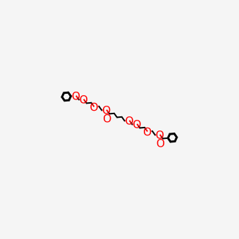 O=C(CCCCOCOCCOCCOC(=O)c1ccccc1)OCCOCCOCOc1ccccc1